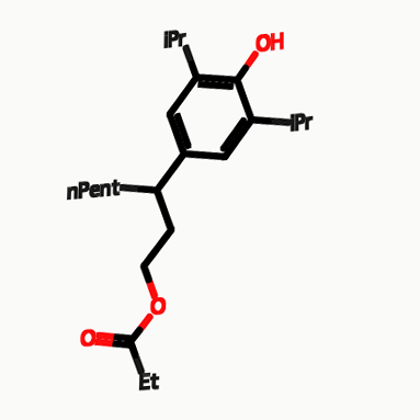 CCCCCC(CCOC(=O)CC)c1cc(C(C)C)c(O)c(C(C)C)c1